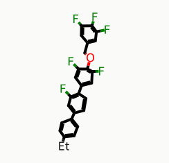 CCc1ccc(-c2ccc(-c3cc(F)c(OCc4cc(F)c(F)c(F)c4)c(F)c3)c(F)c2)cc1